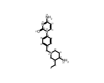 CCC1CN(Cc2ccc(-n3ccc(N)nc3=O)cc2)CCC1N